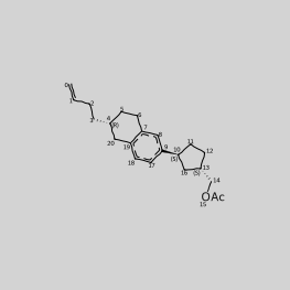 C=CCC[C@@H]1CCc2cc([C@H]3CC[C@H](COC(C)=O)C3)ccc2C1